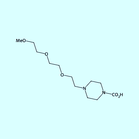 COCCOCCOCCN1CCN(C(=O)O)CC1